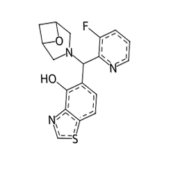 Oc1c(C(c2ncccc2F)N2CC3CC(C2)O3)ccc2scnc12